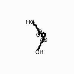 O=C(OCCCCCCO)c1cccc(C(=O)OCCCCCCO)c1